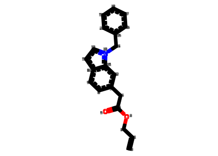 C=CCOC(=O)Cc1ccc2ccn(Cc3ccccc3)c2c1